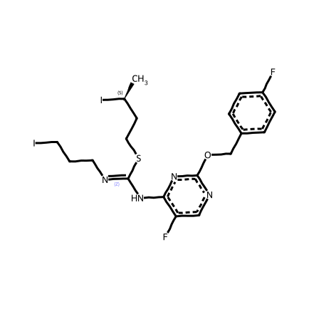 C[C@H](I)CCS/C(=N\CCCI)Nc1nc(OCc2ccc(F)cc2)ncc1F